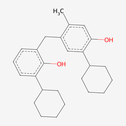 Cc1cc(O)c(C2CCCCC2)cc1Cc1cccc(C2CCCCC2)c1O